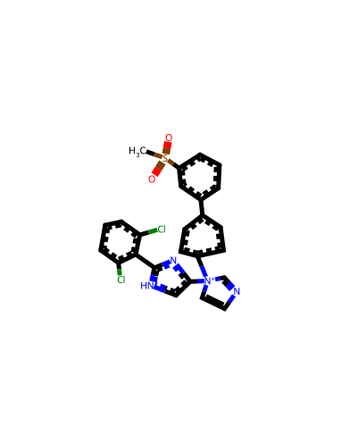 CS(=O)(=O)c1cccc(-c2ccc([N+]3(c4c[nH]c(-c5c(Cl)cccc5Cl)n4)C=CN=C3)cc2)c1